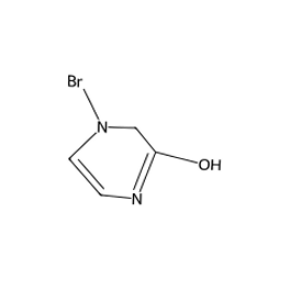 OC1=NC=CN(Br)C1